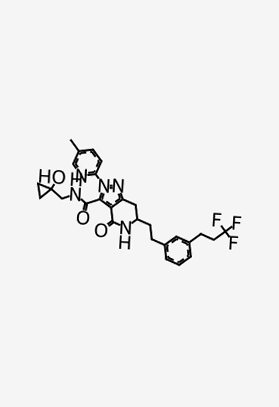 Cc1ccc(-n2nc3c(c2C(=O)NCC2(O)CC2)C(=O)NC(CCc2cccc(CCC(F)(F)F)c2)C3)nc1